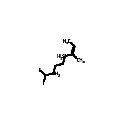 CC=C(C)[SiH2]CC[SiH2]C(I)I